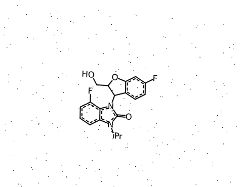 CC(C)n1c(=O)n(C2c3ccc(F)cc3OC2CO)c2c(F)cccc21